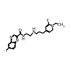 CCN1CC=C(CCCNCCNC(=O)c2cnc3cc(I)ccc3n2)C=C1F